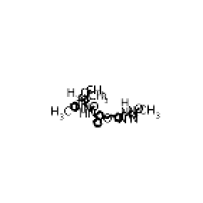 COc1cncc(Nc2cc(COc3ccc(NC(=O)Nc4cc(C(C)(C)C)nn4-c4ccc(C)cc4)c4ccccc34)ccn2)n1